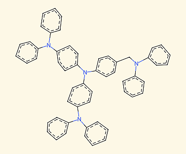 c1ccc(N(Cc2ccc(N(c3ccc(N(c4ccccc4)c4ccccc4)cc3)c3ccc(N(c4ccccc4)c4ccccc4)cc3)cc2)c2ccccc2)cc1